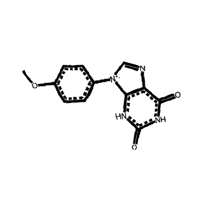 COc1ccc([N+]2C=Nc3c2[nH]c(=O)[nH]c3=O)cc1